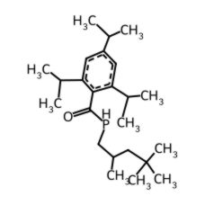 CC(CPC(=O)c1c(C(C)C)cc(C(C)C)cc1C(C)C)CC(C)(C)C